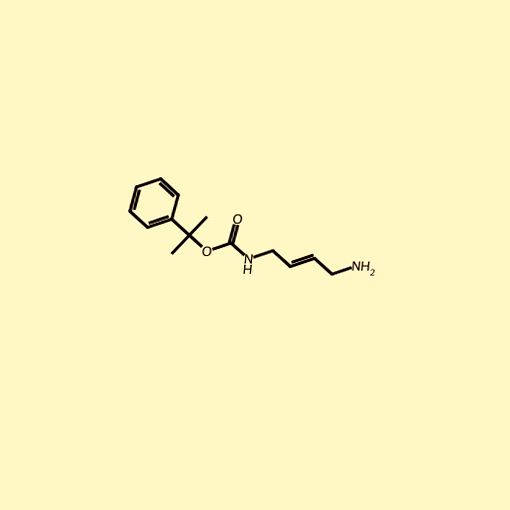 CC(C)(OC(=O)NC/C=C/CN)c1ccccc1